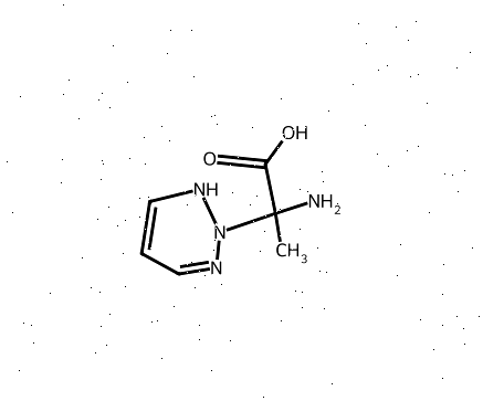 CC(N)(C(=O)O)N1N=CC=CN1